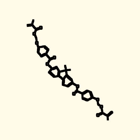 C=C(C)C(=O)OCOc1ccc(C(=O)Oc2ccc3c(c2)C(C)(C)c2cc(OC(=O)c4ccc(OCOC(=O)C(=C)C)cc4)ccc2-3)cc1